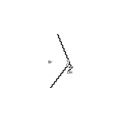 CCCCCCCCCCCCCCCCOCC(C[N+](C)(C)CCO)OCCCCCCCCCCCCCCCC.[Br-]